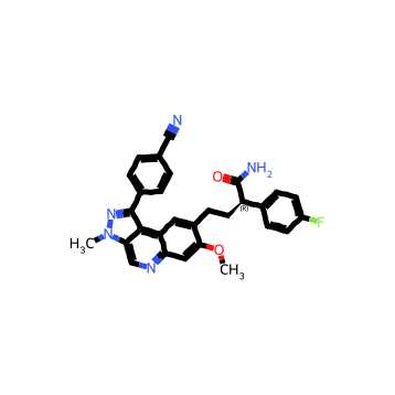 COc1cc2ncc3c(c(-c4ccc(C#N)cc4)nn3C)c2cc1CC[C@@H](C(N)=O)c1ccc(F)cc1